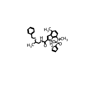 Cc1ccc(N(C)S(=O)(=O)c2cccs2)c2[nH]c(C(=O)NCC(C)SCc3ccccc3)cc12